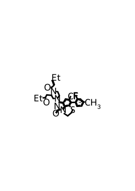 CC/C=C/C(=O)N1CCN(c2nc(=O)n3c4c(c(-c5ccc(C)cc5F)c(C(F)(F)F)cc24)SCCC3)CC1CC(=O)CC